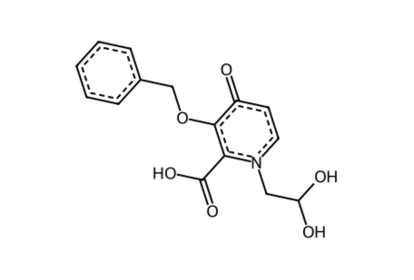 O=C(O)c1c(OCc2ccccc2)c(=O)ccn1CC(O)O